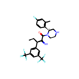 CCC(C(=N)C(=O)N1CCNC[C@@H]1c1ccc(F)cc1C)c1cc(C(F)(F)F)cc(C(F)(F)F)c1